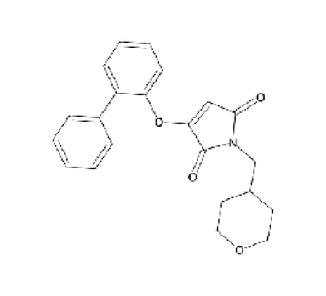 O=C1C=C(Oc2ccccc2-c2ccccc2)C(=O)N1CC1CCOCC1